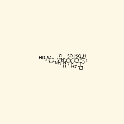 Cc1c(Nc2nc(Cl)nc(NC3=CC=CC(C)(S(=O)(=O)O)C=C3)n2)c(C)c(S(=O)(=O)O)c(C)c1Nc1cc(S(=O)(=O)O)c(N)c2c1C(=O)c1ccccc1C2=O